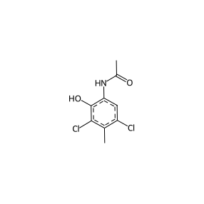 CC(=O)Nc1cc(Cl)c(C)c(Cl)c1O